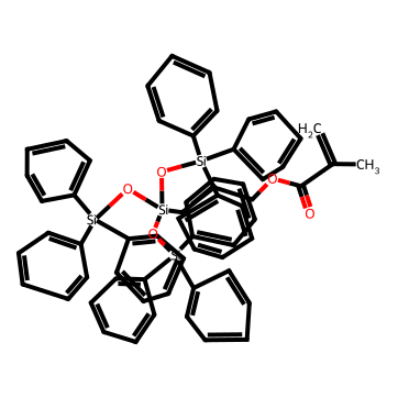 C=C(C)C(=O)OCCC[Si](O[Si](c1ccccc1)(c1ccccc1)c1ccccc1)(O[Si](c1ccccc1)(c1ccccc1)c1ccccc1)O[Si](c1ccccc1)(c1ccccc1)c1ccccc1